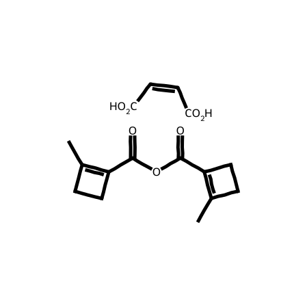 CC1=C(C(=O)OC(=O)C2=C(C)CC2)CC1.O=C(O)/C=C\C(=O)O